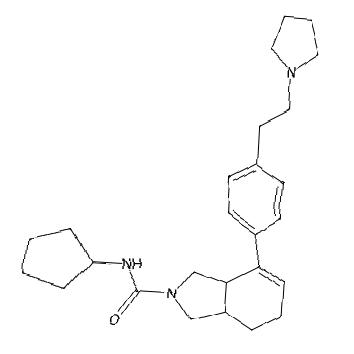 O=C(NC1CCCC1)N1CC2CCC=C(c3ccc(CCN4CCCC4)cc3)C2C1